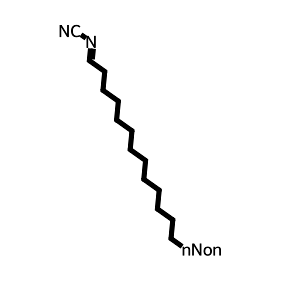 CCCCCCCCCCCCCCCCCCCCCC=NC#N